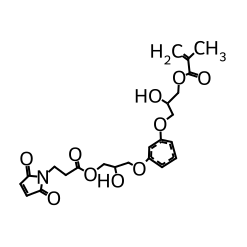 C=C(C)C(=O)OCC(O)COc1cccc(OCC(O)COC(=O)CCN2C(=O)C=CC2=O)c1